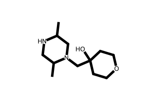 CC1CN(CC2(O)CCOCC2)C(C)CN1